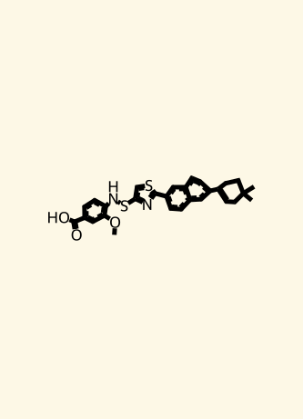 COc1cc(C(=O)O)ccc1NSc1csc(-c2ccc3cc(C4=CCC(C)(C)CC4)ccc3c2)n1